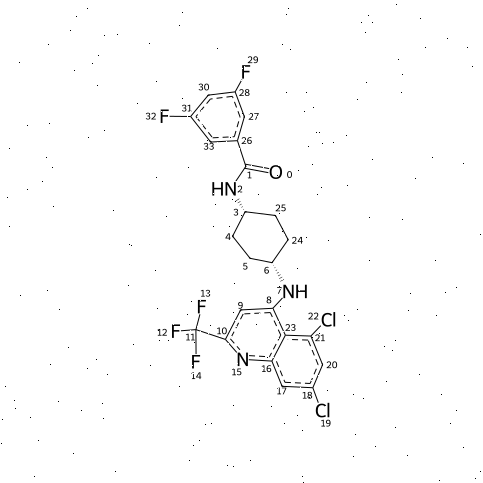 O=C(N[C@H]1CC[C@@H](Nc2cc(C(F)(F)F)nc3cc(Cl)cc(Cl)c23)CC1)c1cc(F)cc(F)c1